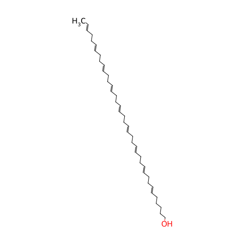 CC=CCCC=CCCC=CCCC=CCCC=CCCC=CCCC=CCCC=CCCC=CCCCCCO